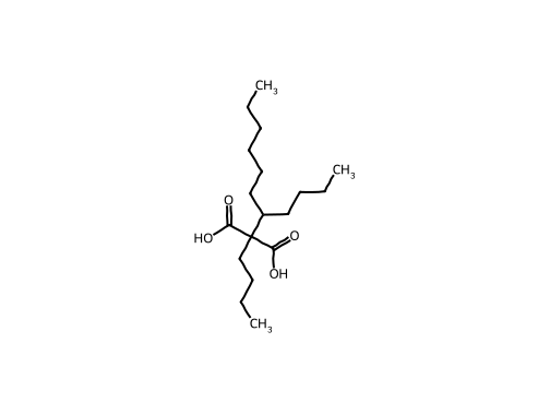 CCCCCCC(CCCC)C(CCCC)(C(=O)O)C(=O)O